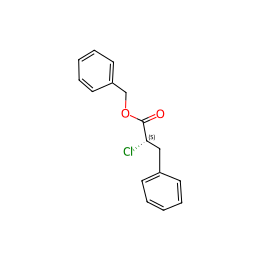 O=C(OCc1ccccc1)[C@@H](Cl)Cc1ccccc1